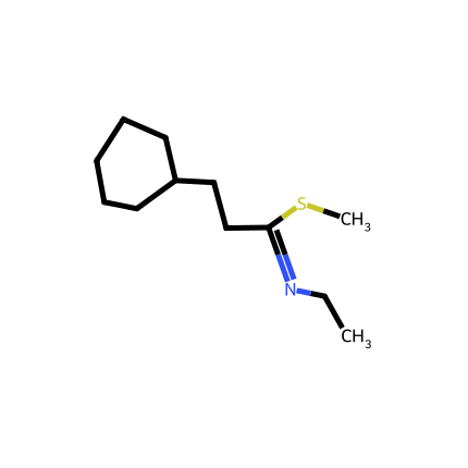 CC/N=C(/CCC1CCCCC1)SC